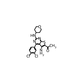 CC(=O)c1sc2nc(NC3CCOCC3)nc(-c3ccc(Cl)c(Cl)c3)c2c1N